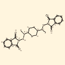 CN(SN1C(=O)c2ccccc2C1=O)C1CCC(N(C)SN2C(=O)c3ccccc3C2=O)CC1